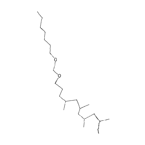 CCCCCCCOCOCCCC(C)CC(C)CC(C)CC(C)I